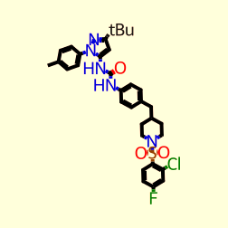 Cc1ccc(-n2nc(C(C)(C)C)cc2NC(=O)Nc2ccc(CC3CCN(S(=O)(=O)c4ccc(F)cc4Cl)CC3)cc2)cc1